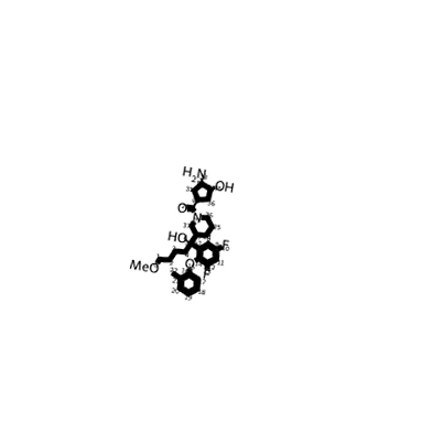 COCCCC[C@](O)(c1cc(F)cc(F)c1Oc1ccccc1C)C1CCCN(C(=O)[C@H]2C[C@@H](N)[C@@H](O)C2)C1